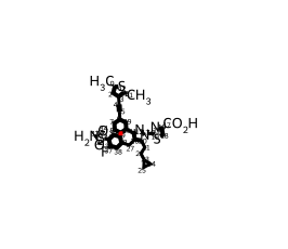 Cc1cc(C#Cc2cccc(-c3nn(-c4nc(C(=O)O)cs4)c(CCC4CC4)c3Cc3ccc(S(N)(=O)=O)c(F)c3)c2)c(C)s1